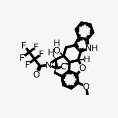 COc1ccc2c3c1O[C@H]1c4[nH]c5ccccc5c4C[C@@]4(O)[C@@H]5N(C(=O)C(F)(F)C(F)(F)F)[C@]5(C2)C[C@]314